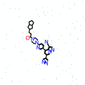 Cn1cc(-c2cc(-c3ccc(N4CCN(C(=O)CCC5CC6CCCC6C5)CC4)nc3)c3c(C#N)cnn3c2)cn1